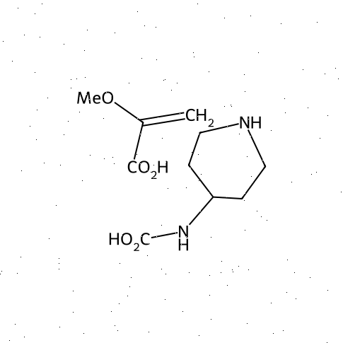 C=C(OC)C(=O)O.O=C(O)NC1CCNCC1